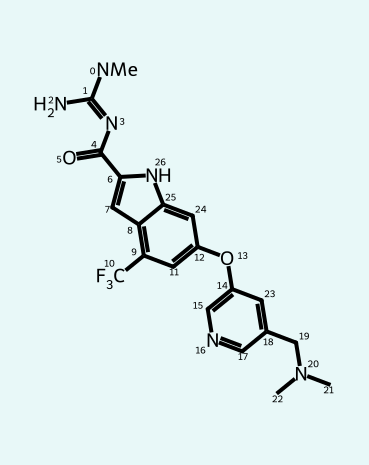 CNC(N)=NC(=O)c1cc2c(C(F)(F)F)cc(Oc3cncc(CN(C)C)c3)cc2[nH]1